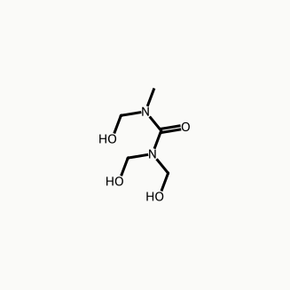 CN(CO)C(=O)N(CO)CO